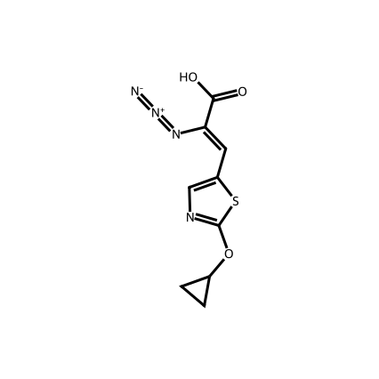 [N-]=[N+]=N/C(=C\c1cnc(OC2CC2)s1)C(=O)O